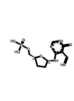 N=Cc1c(N[C@H]2CC[C@@H](COP(=O)(O)O)O2)nc[nH]c1=O